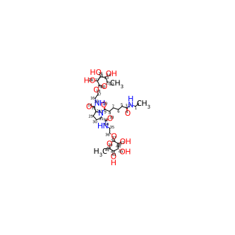 CCNC(=O)CCCCC(=O)N1C(C(=O)NCCO[C@@H]2O[C@@H](C)[C@@H](O)[C@@H](O)[C@@H]2O)CC[C@H]1C(=O)NCCO[C@@H]1O[C@@H](C)[C@@H](O)[C@@H](O)[C@@H]1O